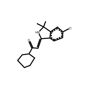 CC1(C)N/C(=C\C(=O)C2CCCCC2)c2ccc(Cl)cc21